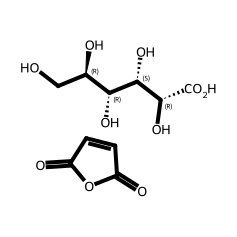 O=C(O)[C@H](O)[C@@H](O)[C@H](O)[C@H](O)CO.O=C1C=CC(=O)O1